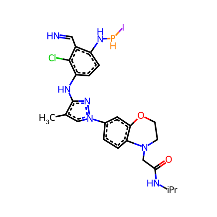 Cc1cn(-c2ccc3c(c2)OCCN3CC(=O)NC(C)C)nc1Nc1ccc(NPI)c(C=N)c1Cl